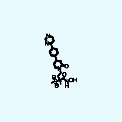 C[C@@](CCn1ccc(-c2ccc(-c3ccncn3)cc2)cc1=O)(C(=O)NO)S(C)(=O)=O